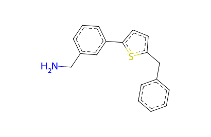 NCc1cccc(-c2ccc(Cc3ccccc3)s2)c1